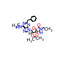 CCNC(=O)[C@H]1O[C@@H](n2cnc3c(NC)nc(Cc4ccccc4)nc32)[C@@H]2OC(C)(C)O[C@@H]21